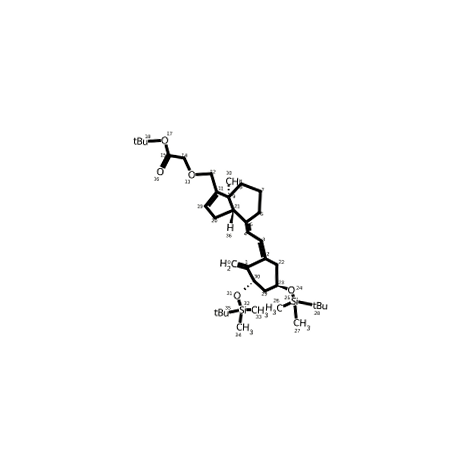 C=C1C(=CC=C2CCC[C@]3(C)C(COCC(=O)OC(C)(C)C)=CC[C@@H]23)C[C@@H](O[Si](C)(C)C(C)(C)C)C[C@@H]1O[Si](C)(C)C(C)(C)C